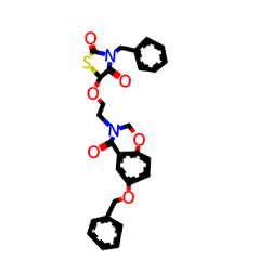 O=C1c2cc(OCc3ccccc3)ccc2OCN1CCOC1SC(=O)N(Cc2ccccc2)C1=O